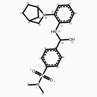 CN(C)S(=O)(=O)c1ccc(C(O)Nc2ccccc2N2CC3CCC2C3)cc1